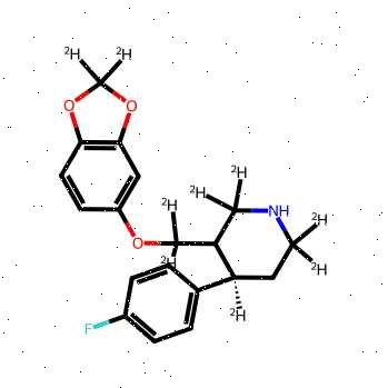 [2H]C1([2H])C[C@@]([2H])(c2ccc(F)cc2)C(C([2H])([2H])Oc2ccc3c(c2)OC([2H])([2H])O3)C([2H])([2H])N1